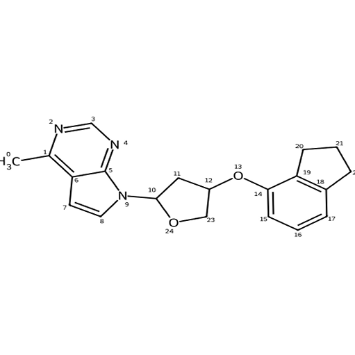 Cc1ncnc2c1ccn2C1CC(Oc2cccc3c2CCC3)CO1